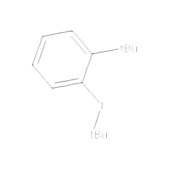 CC(C)(C)[I+]c1ccccc1C(C)(C)C